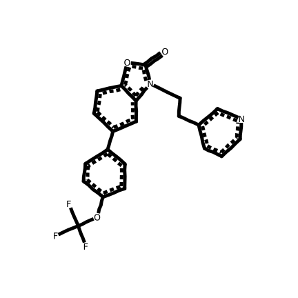 O=c1oc2ccc(-c3ccc(OC(F)(F)F)cc3)cc2n1CCc1cccnc1